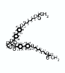 C=CC(=O)OCCCCCCCOc1ccc(-c2ccc(C(=O)OC3OCCOC3OC(=O)c3ccc(-c4ccc(OCCCCCCCOC(=O)C=C)cc4)cc3)cc2)cc1